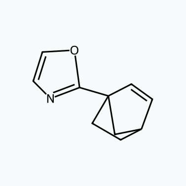 C1=CC2(c3ncco3)CCC1C2